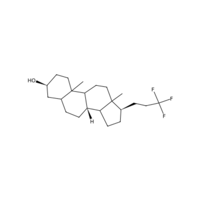 CC12CC[C@H](O)CC1CC[C@@H]1C2CCC2(C)C1CC[C@@H]2CCC(F)(F)F